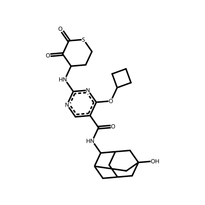 O=C1SCCC(Nc2ncc(C(=O)NC3C4CC5CC3CC(O)(C5)C4)c(OC3CCC3)n2)C1=O